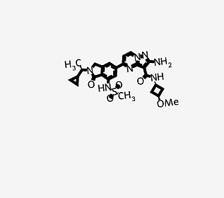 CO[C@H]1C[C@H](NC(=O)c2c(N)nn3ccc(-c4cc5c(c(NS(C)(=O)=O)c4)C(=O)N([C@@H](C)C4CC4)C5)nc23)C1